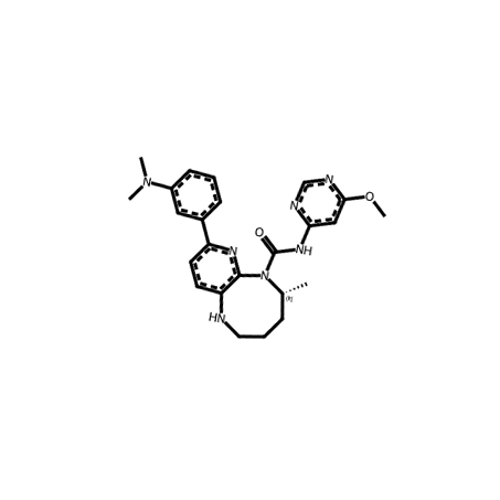 COc1cc(NC(=O)N2c3nc(-c4cccc(N(C)C)c4)ccc3NCCC[C@H]2C)ncn1